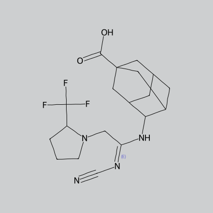 N#C/N=C(\CN1CCCC1C(F)(F)F)NC1C2CC3CC1CC(C(=O)O)(C3)C2